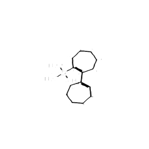 C[Si](C)(C)C1=C(C2=CCCCCC2)CCCCC1